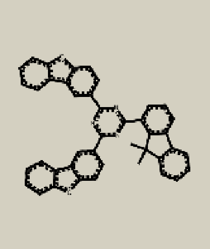 CC1(C)c2ccccc2-c2cccc(-c3nc(-c4ccc5oc6ccccc6c5c4)nc(-c4ccc5oc6ccccc6c5c4)n3)c21